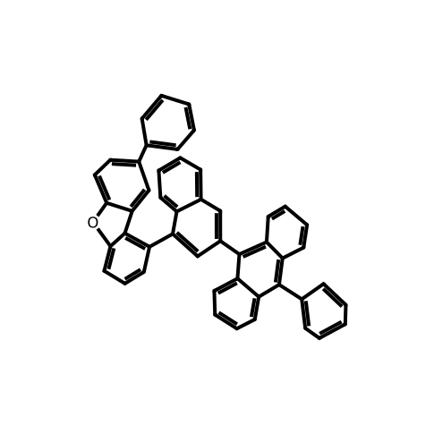 c1ccc(-c2ccc3oc4cccc(-c5cc(-c6c7ccccc7c(-c7ccccc7)c7ccccc67)cc6ccccc56)c4c3c2)cc1